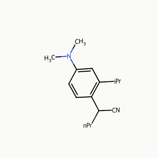 CCCC(C#N)c1ccc(N(C)C)cc1C(C)C